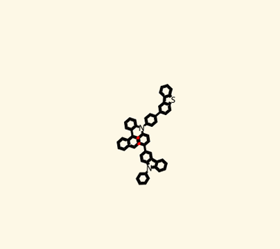 c1ccc(-n2c3ccccc3c3cc(-c4ccc(N(c5ccc(-c6ccc7sc8ccccc8c7c6)cc5)c5ccccc5-c5cccc6ccccc56)cc4)ccc32)cc1